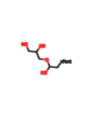 CCCCCCC(O)OCC(O)CO